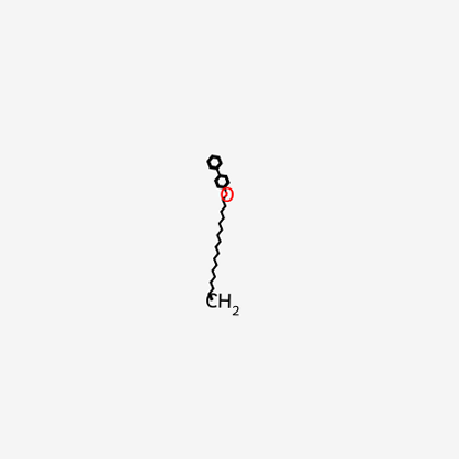 C=CCCCCCCCCCCCCCCCCOc1ccc(-c2ccccc2)cc1